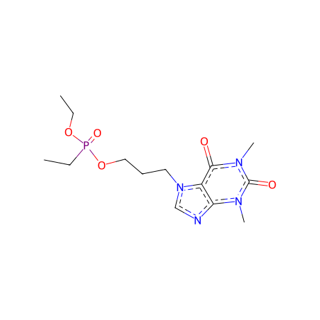 CCOP(=O)(CC)OCCCn1cnc2c1c(=O)n(C)c(=O)n2C